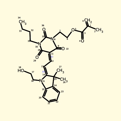 C=C(C)C(=O)OCCN1C(=O)/C(=C/C=C2/N(CCO)c3ccccc3C2(C)C)C(=O)N(CCCC)C1=O